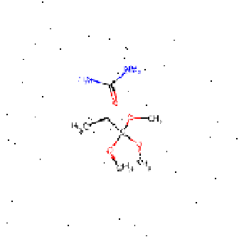 CC[Si](OC)(OC)OC.NC(N)=O